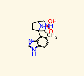 CC1NCC2CCC1(c1cccc3[nH]cnc13)N2C(=O)O